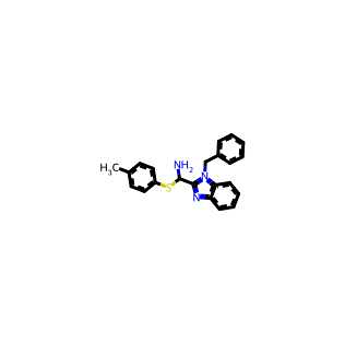 Cc1ccc(SC(N)c2nc3ccccc3n2Cc2ccccc2)cc1